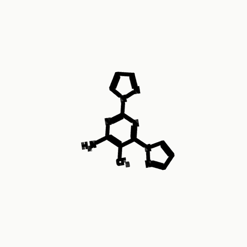 Nc1nc(-n2cccn2)nc(-n2cccn2)c1C(F)(F)F